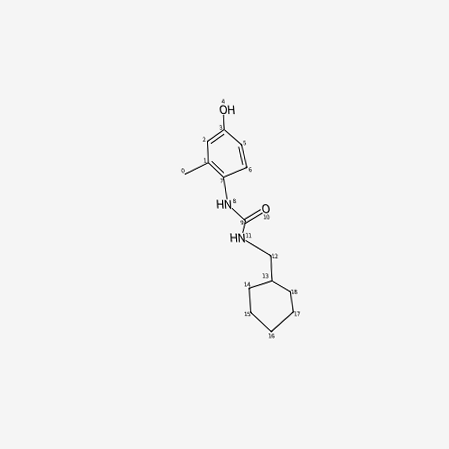 Cc1cc(O)ccc1NC(=O)NCC1CCCCC1